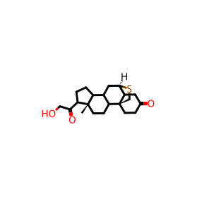 C[C@]12CCC3C(C[C@H]4SC[C@@]35CCC(=O)CC45)C1CCC2C(=O)CO